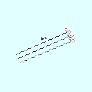 CCCCCCCCCCCCCCCCCCCCCCCCCCCCCC(=O)[O-].CCCCCCCCCCCCCCCCCCCCCCCCCCCCCC(=O)[O-].CCCCCCCCCCCCCCCCCCCCCCCCCCCCCC(=O)[O-].[In+3]